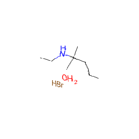 Br.CCCC(C)(C)NCC.O